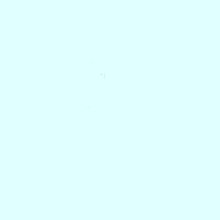 CC(C)(C)N1CCc2cc(F)c(C(=O)O)cc2S1(=O)=O